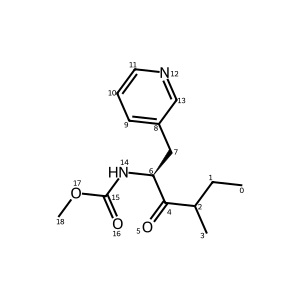 CCC(C)C(=O)[C@H](Cc1cccnc1)NC(=O)OC